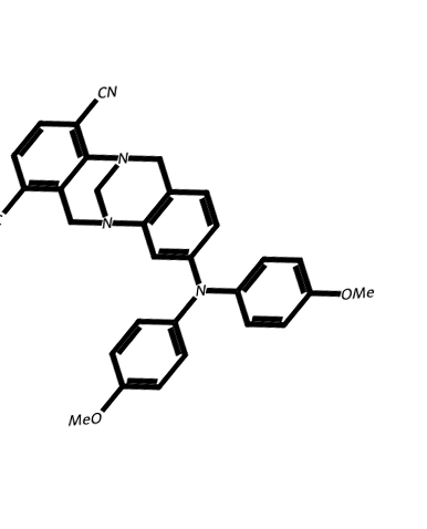 COc1ccc(N(c2ccc(OC)cc2)c2ccc3c(c2)N2Cc4c(C#N)ccc(C#N)c4N(C3)C2)cc1